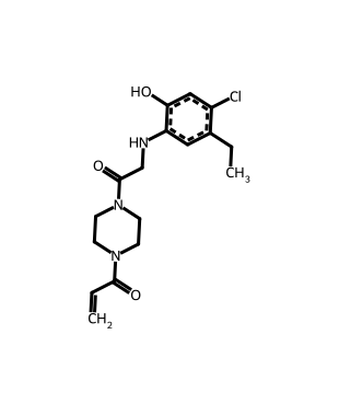 C=CC(=O)N1CCN(C(=O)CNc2cc(CC)c(Cl)cc2O)CC1